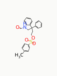 Cc1ccc(S(=O)(=O)OCCC(CNC=O)(c2ccccc2)c2ccccc2)cc1